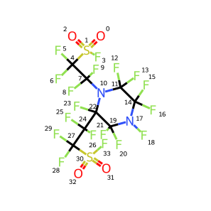 O=S(=O)(F)C(F)(F)C(F)(F)N1C(F)(F)C(F)(F)N(F)C(F)(F)C1(F)C(F)(F)C(F)(F)S(=O)(=O)F